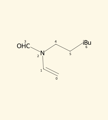 C=CN(C=O)CCC(C)CC